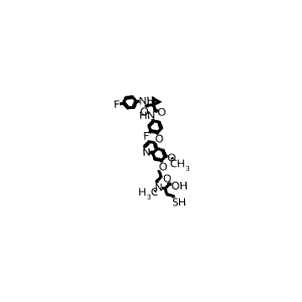 COc1cc2c(Oc3ccc(NC(=O)C4(C(=O)Nc5ccc(F)cc5)CC4)cc3F)ccnc2cc1OCCCN(C)C(CCS)C(=O)O